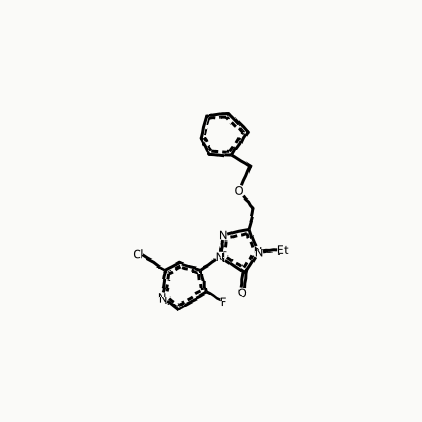 CCn1c(COCc2ccccc2)nn(-c2cc(Cl)ncc2F)c1=O